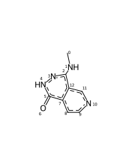 CNc1n[nH]c(=O)c2ccncc12